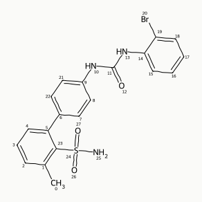 Cc1cccc(-c2ccc(NC(=O)Nc3ccccc3Br)cc2)c1S(N)(=O)=O